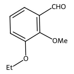 [CH2]COc1cccc(C=O)c1OC